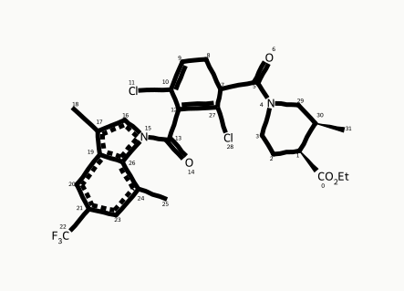 CCOC(=O)[C@H]1CCN(C(=O)C2CC=C(Cl)C(C(=O)n3cc(C)c4cc(C(F)(F)F)cc(C)c43)=C2Cl)C[C@H]1C